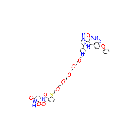 NC(=O)c1c(-c2ccc(Oc3ccccc3)cc2)nn2c1NCCC2C1CCN(CCOCCOCCOCCOCCOCCSc2cccc3c2C(=O)N(C2CCC(=O)NC2=O)C3=O)CC1